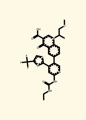 CCNC(=O)Nc1cc(-c2nc(C(F)(F)F)cs2)c(-c2ccc3c(c2)c(=O)c(C(=O)O)cn3C(I)COC)cn1